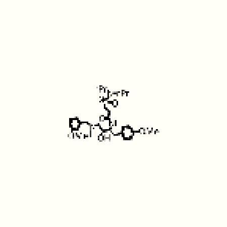 CCCN(CCC)S(=O)(=O)CCC(=O)N[C@@H](Cc1ccc(OC)cc1)[C@@H](O)CNCc1cccc(OC)c1